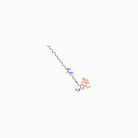 B[C@@H]1O[C@H](COC)C(OP(=O)(O)OC)[C@@H]1C/C=C/CCCCNC(=S)NCCCCCCCCCCCCCCC